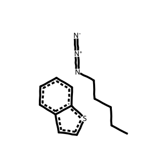 CCCCCN=[N+]=[N-].c1ccc2sccc2c1